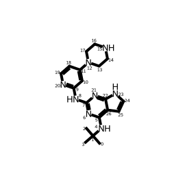 CC(C)(C)Nc1nc(Nc2cc(N3CCNCC3)ccn2)nc2[nH]ccc12